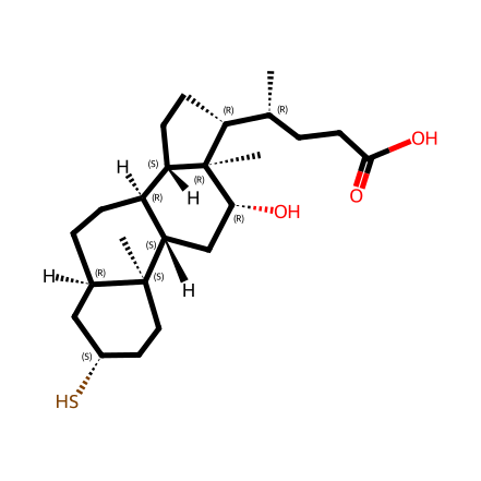 C[C@H](CCC(=O)O)[C@H]1CC[C@H]2[C@@H]3CC[C@@H]4C[C@@H](S)CC[C@]4(C)[C@H]3C[C@@H](O)[C@]12C